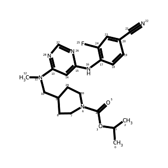 CC(C)OC(=O)N1CCC(CN(C)c2cc(Nc3ccc(C#N)cc3F)ncn2)CC1